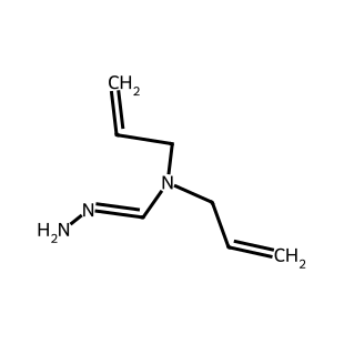 C=CCN(C=NN)CC=C